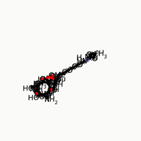 CC[C@H](C)[C@@H]1NC(=O)CCNC(=O)[C@@H]2Cc3c([nH]c4c(CSCCOCCOCCOCCOCCOCCN/C=C(\N)CN5C(=O)CC(C)C5=O)c(OC)ccc34)[S+]([O-])C[C@@H](NC(=O)CNC1=O)C(=O)N[C@@H](CC(N)=O)C(=O)N1C[C@H](O)C[C@H]1C(=O)N[C@@H]([C@@H](C)[C@@H](O)CO)C(=O)N2